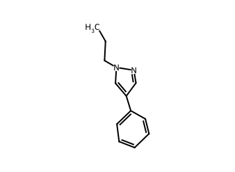 CCCn1cc(-c2ccccc2)cn1